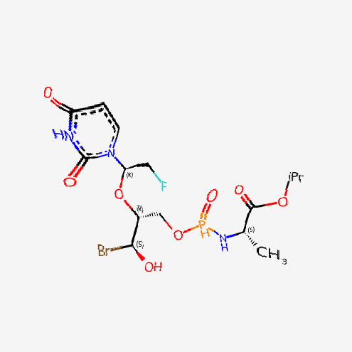 CC(C)OC(=O)[C@H](C)N[PH](=O)OC[C@@H](O[C@H](CF)n1ccc(=O)[nH]c1=O)[C@@H](O)Br